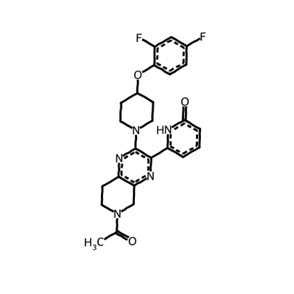 CC(=O)N1CCc2nc(N3CCC(Oc4ccc(F)cc4F)CC3)c(-c3cccc(=O)[nH]3)nc2C1